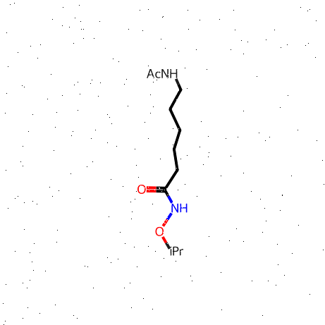 CC(=O)NCCCCCC(=O)NOC(C)C